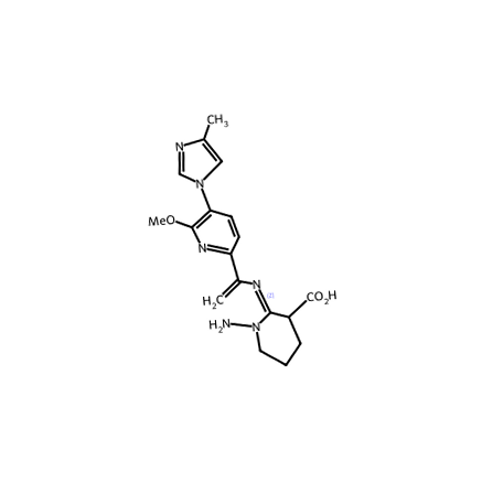 C=C(/N=C1/C(C(=O)O)CCCN1N)c1ccc(-n2cnc(C)c2)c(OC)n1